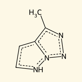 Cc1nnn2[nH]ccc12